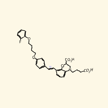 O=C(O)CCCN1CC(C(=O)O)Oc2c(/C=C/c3ccc(OCCCCOc4ccccc4F)cc3)cccc21